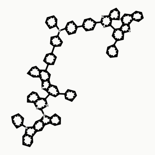 c1ccc(-c2cc(-c3nc(-c4ccc(-c5ccc(N(c6ccccc6)c6ccc(-c7ccc(-c8cc9c%10cc(-c%11ccccc%11)cc(-c%11nc(-n%12c%13ccccc%13c%13cc%14c%15ccccc%15n(-c%15ccccc%15)c%14cc%13%12)nc%12ccccc%11%12)c%10sc9c9ccccc89)cc7)cc6)cc5)cc4)nc4ccccc34)c3c(c2)sc2c4ccccc4ccc23)cc1